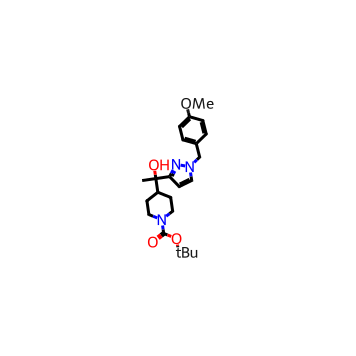 COc1ccc(Cn2ccc(C(C)(O)C3CCN(C(=O)OC(C)(C)C)CC3)n2)cc1